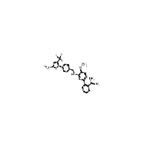 COc1cnc(-c2ccccc2C(C)C)nc1NCc1ccc(-n2nc(C)cc2C(F)(F)F)cc1